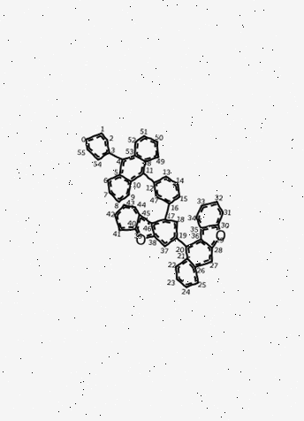 c1ccc(-c2c3ccccc3c(-c3cccc(-c4cc(-c5c6ccccc6cc6oc7ccccc7c56)cc5oc6ccccc6c45)c3)c3ccccc23)cc1